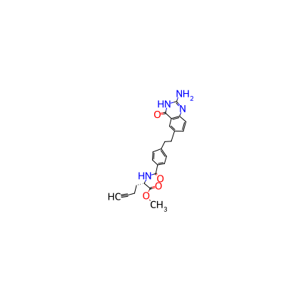 C#CCC[C@H](NC(=O)c1ccc(CCc2ccc3nc(N)[nH]c(=O)c3c2)cc1)C(=O)OC